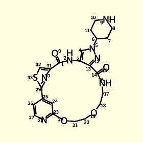 O=C1Nc2cn(C3CCNCC3)nc2C(=O)NCCOCCOc2cc(ccn2)-c2nc1cs2